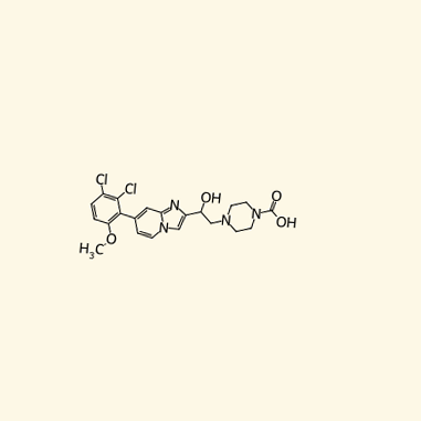 COc1ccc(Cl)c(Cl)c1-c1ccn2cc(C(O)CN3CCN(C(=O)O)CC3)nc2c1